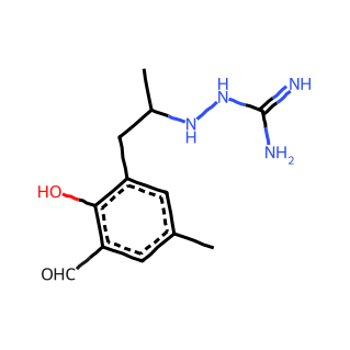 Cc1cc(C=O)c(O)c(CC(C)NNC(=N)N)c1